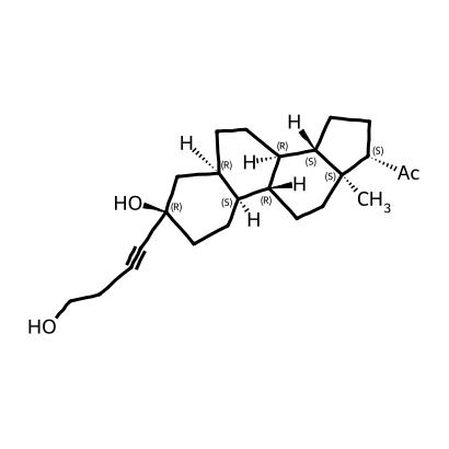 CC(=O)[C@H]1CC[C@H]2[C@@H]3CC[C@@H]4C[C@@](O)(C#CCCO)CC[C@@H]4[C@H]3CC[C@]12C